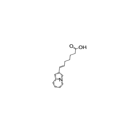 O=C(O)CCCC/C=C/c1cc2ccccn2c1